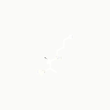 CC(N)[C@@H](C)NCCCCl